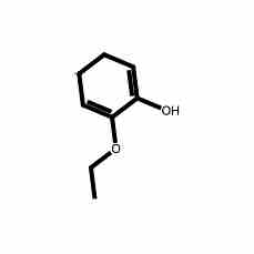 CCOC1=C[CH]CC=C1O